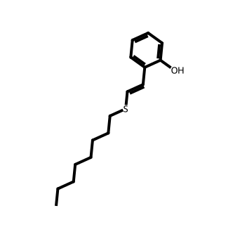 CCCCCCCCSC=Cc1ccccc1O